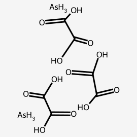 O=C(O)C(=O)O.O=C(O)C(=O)O.O=C(O)C(=O)O.[AsH3].[AsH3]